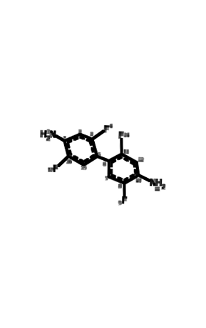 Nc1cc(F)c(-c2cc(F)c(N)cc2F)cc1F